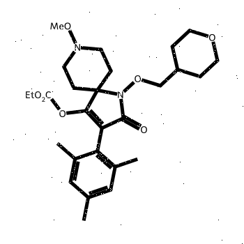 CCOC(=O)OC1=C(c2c(C)cc(C)cc2C)C(=O)N(OCC2CCOCC2)C12CCN(OC)CC2